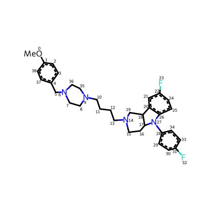 COc1ccc(CN2CCN(CCCCN3CCC4C(C3)c3cc(F)ccc3N4c3ccc(F)cc3)CC2)cc1